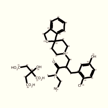 CN(CC#N)C(=O)C(Cc1cc(O)ccc1Cl)CN1CCC2(CC1)OCc1ccccc12.O=C(O)CC(O)(CC(=O)O)C(=O)O